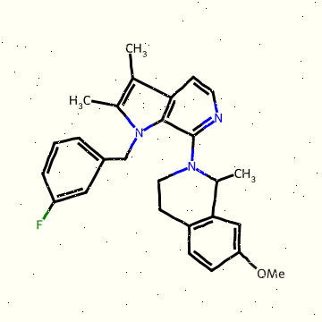 COc1ccc2c(c1)C(C)N(c1nccc3c(C)c(C)n(Cc4cccc(F)c4)c13)CC2